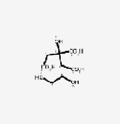 O=C(O)CC(O)(CC(=O)O)C(=O)O.OCCO